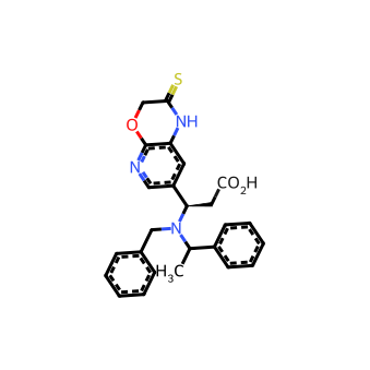 CC(c1ccccc1)N(Cc1ccccc1)[C@H](CC(=O)O)c1cnc2c(c1)NC(=S)CO2